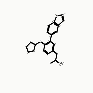 CC(Cc1ccc(OC2CCCC2)c(-c2ccc3sncc3c2)c1)C(=O)O